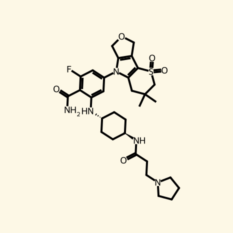 CC1(C)Cc2c(c3c(n2-c2cc(F)c(C(N)=O)c(N[C@H]4CC[C@H](NC(=O)CCN5CCCC5)CC4)c2)COC3)S(=O)(=O)C1